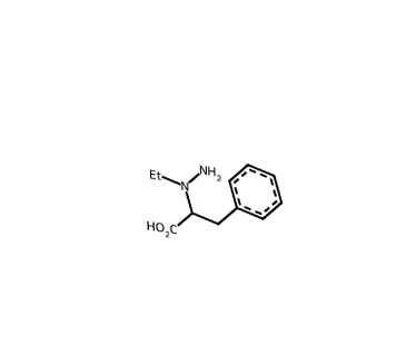 CCN(N)C(Cc1ccccc1)C(=O)O